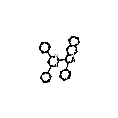 c1ccc(-c2cc(-c3ccccc3)nc(-c3c(-c4ccccc4)nn4cc5ccccc5cc34)n2)cc1